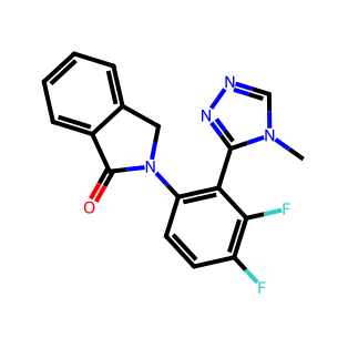 Cn1cnnc1-c1c(N2Cc3ccccc3C2=O)ccc(F)c1F